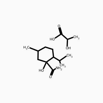 CC(O)C(=O)O.CC1CCC(C(C)C)C(O)(C(N)=O)C1